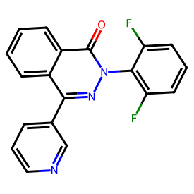 O=c1c2ccccc2c(-c2cccnc2)nn1-c1c(F)cccc1F